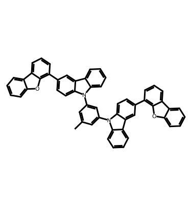 Cc1cc(-n2c3ccccc3c3cc(-c4cccc5c4oc4ccccc45)ccc32)cc(-n2c3ccccc3c3cc(-c4cccc5c4oc4ccccc45)ccc32)c1